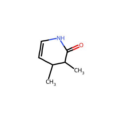 CC1C=CNC(=O)C1C